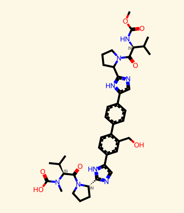 COC(=O)N[C@H](C(=O)N1CCCC1c1ncc(-c2ccc(-c3ccc(-c4cnc([C@@H]5CCCN5C(=O)[C@H](C(C)C)N(C)C(=O)O)[nH]4)cc3CO)cc2)[nH]1)C(C)C